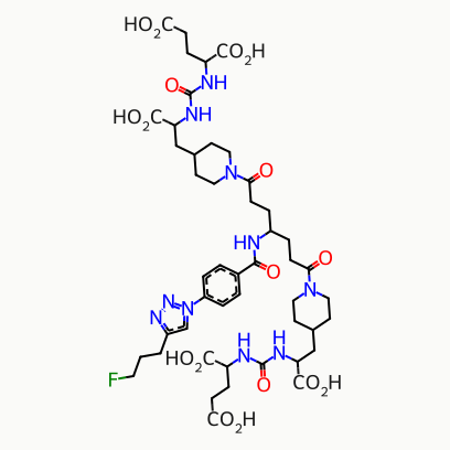 O=C(O)CCC(NC(=O)NC(CC1CCN(C(=O)CCC(CCC(=O)N2CCC(CC(NC(=O)NC(CCC(=O)O)C(=O)O)C(=O)O)CC2)NC(=O)c2ccc(-n3cc(CCCF)nn3)cc2)CC1)C(=O)O)C(=O)O